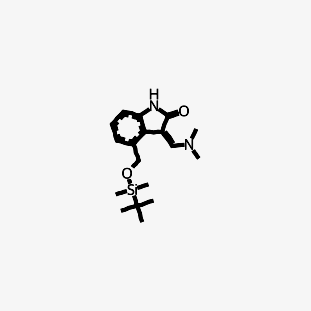 CN(C)C=C1C(=O)Nc2cccc(CO[Si](C)(C)C(C)(C)C)c21